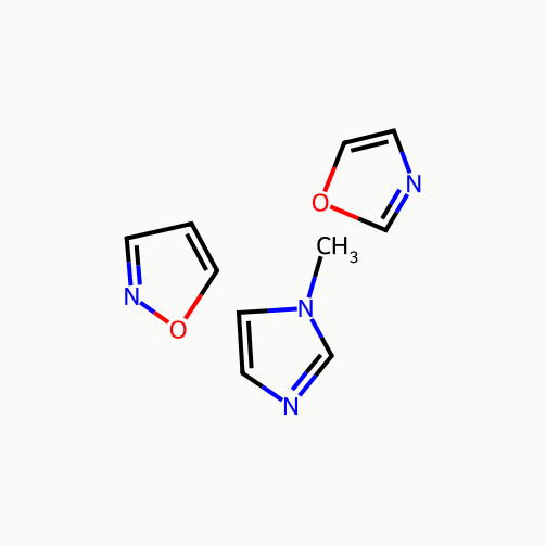 Cn1ccnc1.c1cnoc1.c1cocn1